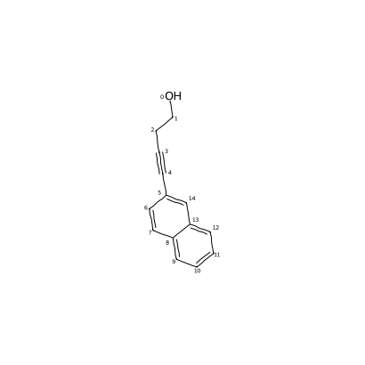 OCCC#Cc1ccc2ccccc2c1